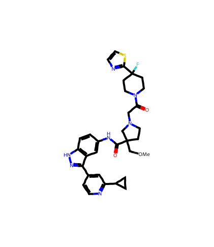 COCC1(C(=O)Nc2ccc3[nH]nc(-c4ccnc(C5CC5)c4)c3c2)CCN(CC(=O)N2CCC(F)(c3nccs3)CC2)C1